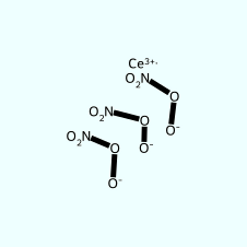 O=[N+]([O-])O[O-].O=[N+]([O-])O[O-].O=[N+]([O-])O[O-].[Ce+3]